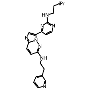 CC(C)CCNc1nccc(-c2cnc3ccc(NCCc4cccnc4)nn23)n1